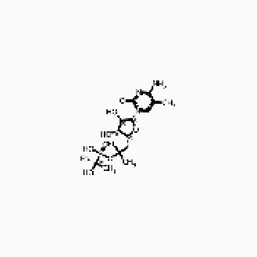 CCC(C)(C[C@H]1O[C@@H](n2cc(C)c(N)nc2=O)[C@H](O)[C@@H]1O)OP(=O)(O)[C@@](C)(O)CC